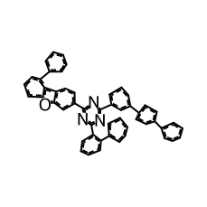 c1ccc(-c2ccc(-c3cccc(-c4nc(-c5ccc6c(c5)oc5cccc(-c7ccccc7)c56)nc(-c5ccccc5-c5ccccc5)n4)c3)cc2)cc1